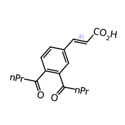 CCCC(=O)c1ccc(/C=C/C(=O)O)cc1C(=O)CCC